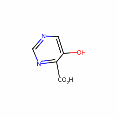 O=C(O)c1ncncc1O